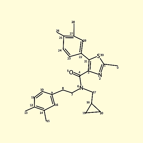 Cc1nc(C(=O)N(CCc2ccc(C)c(C)c2)CC2CC2)c(-c2ccc(C)c(C)c2)s1